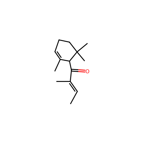 C/C=C(\C)C(=O)C1C(C)=CCCC1(C)C